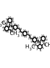 CCc1cccc(CC)c1N(c1ccccc1)c1ccc(/C=C/c2ccc(/C=C/c3ccc(N(c4ccccc4)c4c(CC)cccc4CC)cc3)cc2)cc1